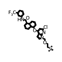 C[Si](C)(C)CCOCn1ccc2c(Oc3cccc4c(C(=O)Nc5cccc(C(F)(F)F)c5)cccc34)cc(Cl)nc21